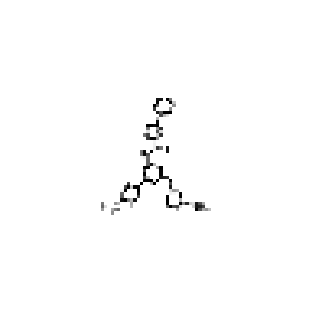 Cc1ccc(-c2cc(CN3CCC[C@H](N)C3)cc(NC(=O)c3ncc(-c4ccccc4)s3)c2)cn1